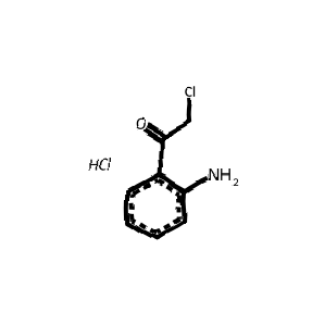 Cl.Nc1ccccc1C(=O)CCl